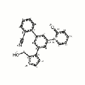 N#Cc1ccccc1-c1cc(-c2ccsc2CO)cc(-n2ccccc2=O)c1